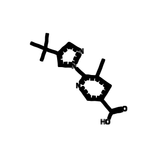 Cc1cc(C(=O)O)cnc1-n1cc(C(C)(C)C)cn1